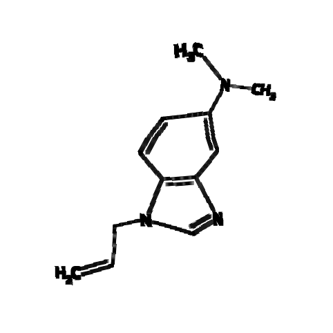 C=CCn1cnc2cc(N(C)C)ccc21